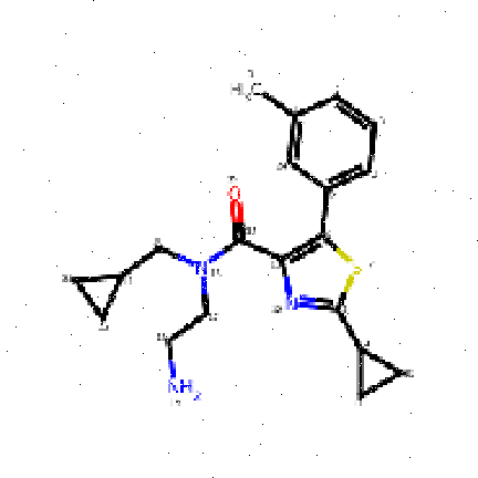 Cc1cccc(-c2sc(C3CC3)nc2C(=O)N(CCN)CC2CC2)c1